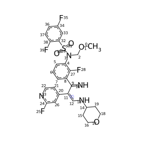 COCN(c1cccc(C(=N)/C(=C\NC2CCOCC2)c2ccnc(F)c2)c1F)S(=O)(=O)c1cc(F)ccc1F